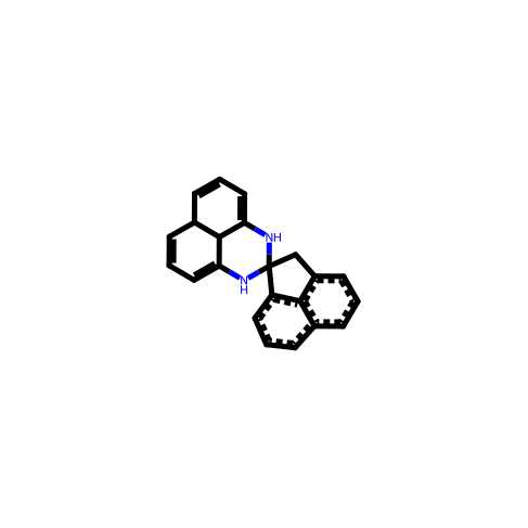 C1=CC2C=CC=C3NC4(Cc5cccc6cccc4c56)NC(=C1)C32